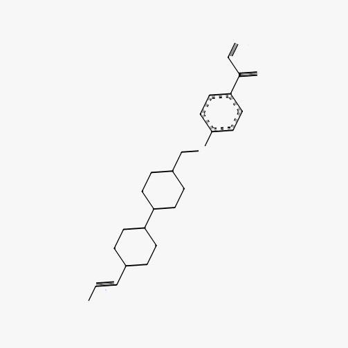 C=CC(=C)c1ccc(OCC2CCC(C3CCC(/C=C/C)CC3)CC2)cc1